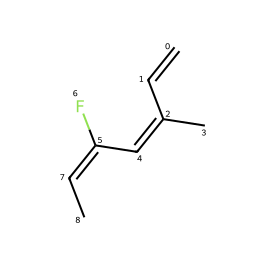 C=C/C(C)=C\C(F)=C/C